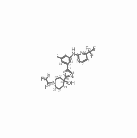 Cc1cc(Nc2nccc(C(F)(F)F)n2)cc(-c2cnc(C3(O)CCCN(C(F)C(F)F)CC3)s2)c1